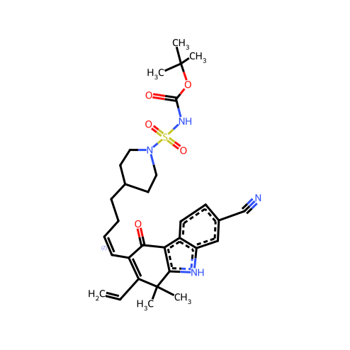 C=CC1=C(/C=C\CCC2CCN(S(=O)(=O)NC(=O)OC(C)(C)C)CC2)C(=O)c2c([nH]c3cc(C#N)ccc23)C1(C)C